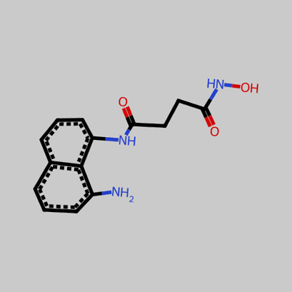 Nc1cccc2cccc(NC(=O)CCC(=O)NO)c12